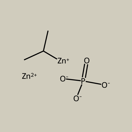 C[CH](C)[Zn+].O=P([O-])([O-])[O-].[Zn+2]